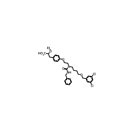 CCOC(Cc1ccc(OCCN(CCCCOCc2cc(Cl)cc(Cl)c2)C(=O)NCc2ccccc2)cc1)C(=O)O